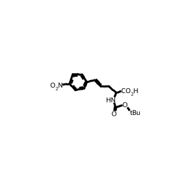 CC(C)(C)OC(=O)NC(CC=Cc1ccc([N+](=O)[O-])cc1)C(=O)O